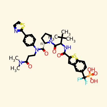 CN(C)C(=O)CCN(C(=O)[C@@H]1CCCN1C(=O)C(NC(=O)c1cc2cc(C(F)(F)P(=O)(O)O)ccc2s1)C(C)(C)C)c1ccc(-c2nccs2)cc1